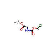 CC(C)(C)OC(=O)CNC(=O)OCCl